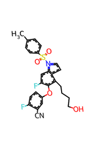 Cc1ccc(S(=O)(=O)n2ccc3c(CCCCO)c(Oc4ccc(F)c(C#N)c4)c(F)cc32)cc1